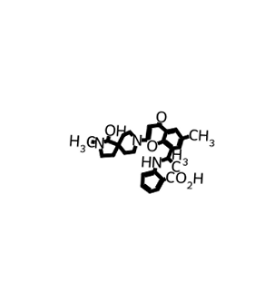 Cc1cc(C(C)Nc2ccccc2C(=O)O)c2oc(N3CCC4(CC3)CCN(C)C4O)cc(=O)c2c1